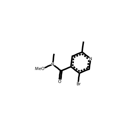 CON(C)C(=O)c1cc(C)ncc1Br